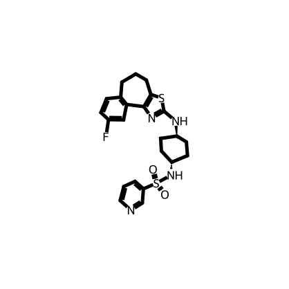 O=S(=O)(N[C@H]1CC[C@H](Nc2nc3c(s2)CCCc2ccc(F)cc2-3)CC1)c1cccnc1